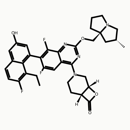 CCc1c(F)ccc2cc(O)cc(-c3c(F)cc4c(N5CC[C@H]6C(=O)O[C@H]6C5)nc(OC[C@@]56CCCN5C[C@H](C)C6)nc4c3F)c12